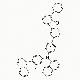 c1ccc(-c2cccc3c2oc2ccc(-c4ccc(N(c5ccc(-c6cccc7ccccc67)cc5)c5cccc6ccccc56)cc4)cc23)cc1